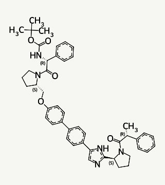 C[C@@H](C(=O)N1CCC[C@H]1c1ncc(-c2ccc(-c3ccc(OC[C@@H]4CCCN4C(=O)[C@H](NC(=O)OC(C)(C)C)c4ccccc4)cc3)cc2)[nH]1)c1ccccc1